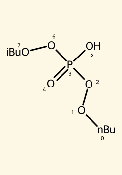 CCCCOOP(=O)(O)OOCC(C)C